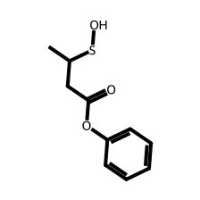 CC(CC(=O)Oc1ccccc1)SO